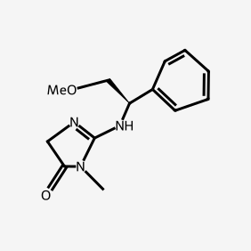 COC[C@H](NC1=NCC(=O)N1C)c1ccccc1